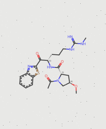 CNC(=N)NCCC[C@H](NC(=O)[C@@H]1C[C@@H](OC)CN1C(C)=O)C(=O)c1nc2ccccc2s1